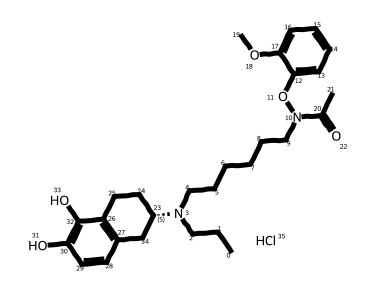 CCCN(CCCCCCN(Oc1ccccc1OC)C(C)=O)[C@H]1CCc2c(ccc(O)c2O)C1.Cl